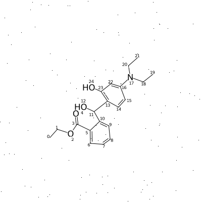 CCOC(=O)c1ccccc1C(O)c1ccc(N(CC)CC)cc1O